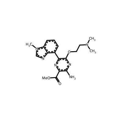 COC(=O)c1nc(-c2cccc3c2ncn3C)c(OCCN(C)C)nc1N